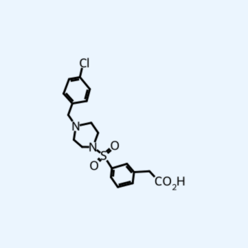 O=C(O)Cc1cccc(S(=O)(=O)N2CCN(Cc3ccc(Cl)cc3)CC2)c1